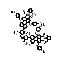 C=CC1=C(/C=C\c2cc(Cl)c(-c3ccc4c5c(Oc6ccc(C(C)(C)C)cc6)cc6c7c(cc(Oc8ccc(C(C)(C)C)cc8)c(c8cccc3c84)c75)C(=O)N(c3c(C(C)C)cccc3C(C)C)C6=O)cc2C)CC(Cl)C(c2ccc3c4c(Oc5ccc(C(C)(C)C)cc5)cc5c6c(cc(Oc7ccc(C(C)(C)C)cc7)c(c7cccc2c73)c64)C(=O)N(c2c(C(C)C)cccc2C(C)C)C5=O)=C1